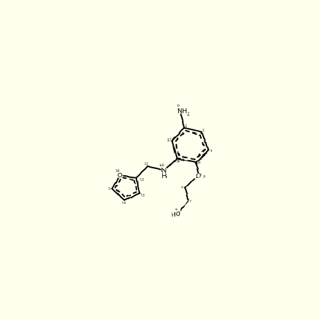 Nc1ccc(OCCO)c(NCc2ccco2)c1